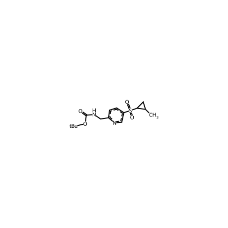 CC1CC1S(=O)(=O)c1ccc(CNC(=O)OC(C)(C)C)nc1